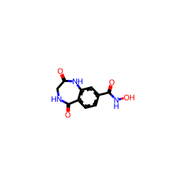 O=C1CNC(=O)c2ccc(C(=O)NO)cc2N1